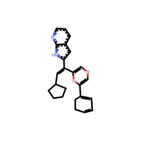 C1=CCCC(C2=COC=C(C(=CC3CCCC3)c3cc4cccnc4[nH]3)O2)=C1